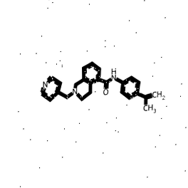 C=C(C)c1ccc(NC(=O)c2cccc3c2CCN(Cc2ccncc2)C3)cc1